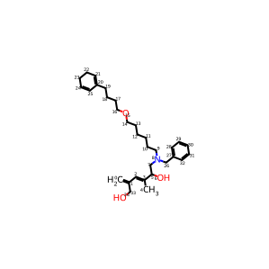 C=C(/C=C(\C)C(O)CN(CCCCCCOCCCCC1=CCCC=C1)Cc1ccccc1)CO